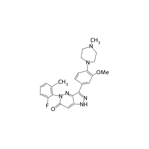 COc1cc(-c2n[nH]c3cc(=O)n(-c4c(C)cccc4F)nc23)ccc1N1CCN(C)CC1